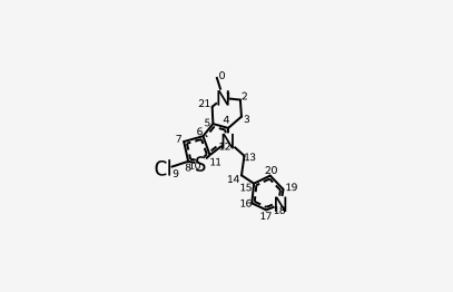 CN1CCc2c(c3cc(Cl)sc3n2CCc2ccncc2)C1